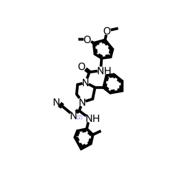 COc1ccc(NC(=O)N2CCN(/C(=N\C#N)Nc3ccccc3C)CC2c2ccccc2)cc1OC